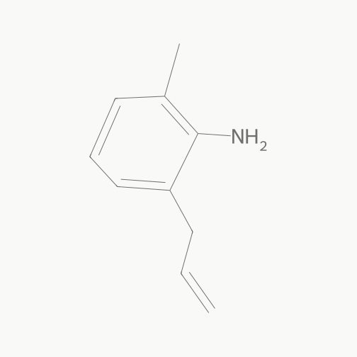 C=CCc1cccc(C)c1N